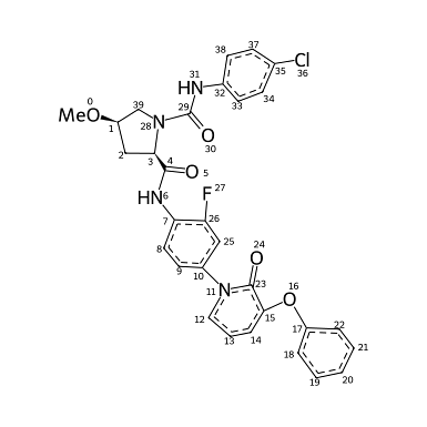 CO[C@@H]1C[C@H](C(=O)Nc2ccc(-n3cccc(Oc4ccccc4)c3=O)cc2F)N(C(=O)Nc2ccc(Cl)cc2)C1